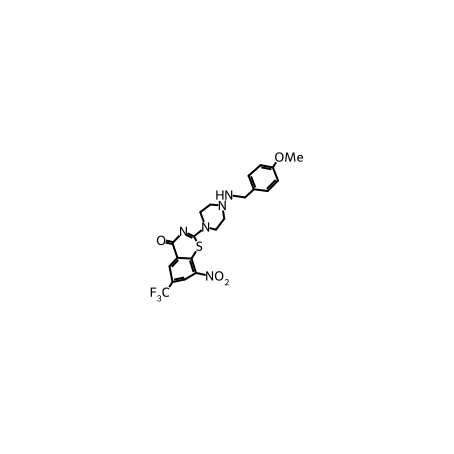 COc1ccc(CNN2CCN(c3nc(=O)c4cc(C(F)(F)F)cc([N+](=O)[O-])c4s3)CC2)cc1